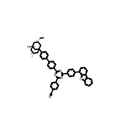 CC[C@H]1C[C@H]2C[C@@H](C)CC(c3ccc(-c4ccc(-c5nc(-c6ccc(C#N)cc6)nc(-c6ccc(-c7cccc8c7oc7ccccc78)cc6)n5)cc4)cc3)(C2)C1